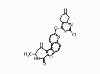 CC1CNc2c(oc3ccc4nc(Oc5nc(Cl)nc6c5CCNC6)ccc4c23)C(=O)N1